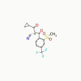 CS(=O)(=O)c1cc(C(F)(F)F)ccc1C(=O)[C@H](C#N)C(=O)C1CC1